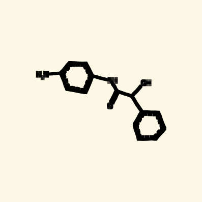 Nc1ccc(NC(=O)C(O)c2ccccc2)cc1